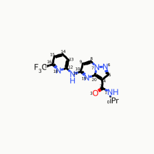 CC(C)NC(=O)c1cnn2ccc(Nc3cccc(C(F)(F)F)n3)nc12